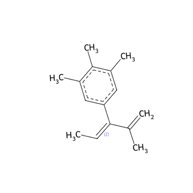 C=C(C)/C(=C/C)c1cc(C)c(C)c(C)c1